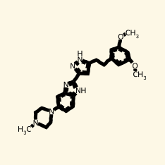 COc1cc(CCc2cc(-c3nc4cc(N5CCN(C)CC5)ccc4[nH]3)n[nH]2)cc(OC)c1